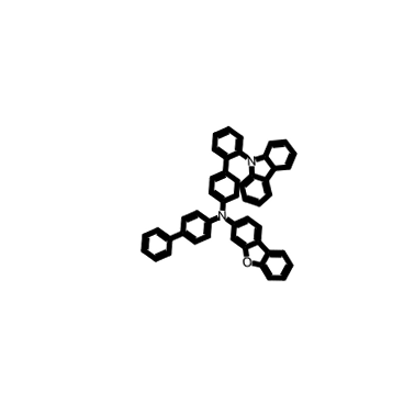 C1=CC2c3ccccc3N(c3ccccc3C3=CC=C(N(c4ccc(-c5ccccc5)cc4)c4ccc5c(c4)oc4ccccc45)CC3)C2C=C1